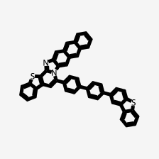 c1ccc2cc3cc4c(cc3cc2c1)nc1c2sc3ccccc3c2cc(-c2ccc(-c3ccc(-c5ccc6sc7ccccc7c6c5)cc3)cc2)n41